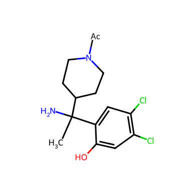 CC(=O)N1CCC(C(C)(N)c2cc(Cl)c(Cl)cc2O)CC1